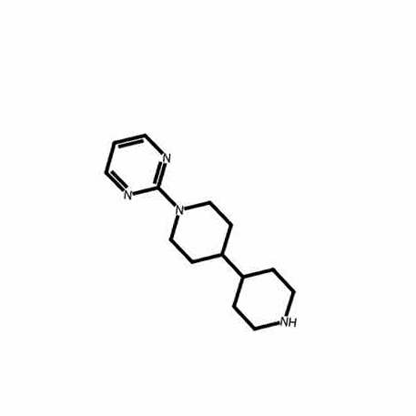 c1cnc(N2CCC(C3CCNCC3)CC2)nc1